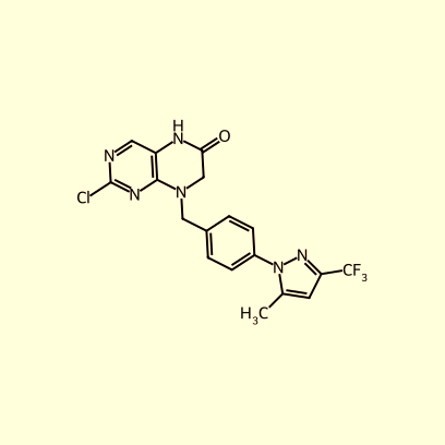 Cc1cc(C(F)(F)F)nn1-c1ccc(CN2CC(=O)Nc3cnc(Cl)nc32)cc1